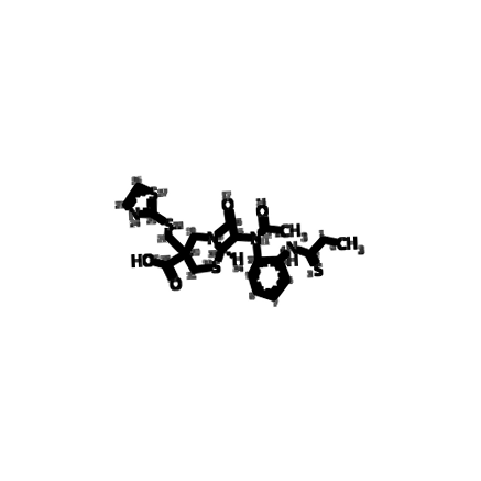 CCC(=S)Nc1ccccc1N(C(C)=O)C1C(=O)N2CC(CSc3nccs3)(C(=O)O)CS[C@H]12